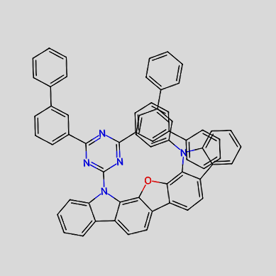 c1ccc(-c2cccc(-c3nc(-c4cccc(-c5ccccc5)c4)nc(-n4c5ccccc5c5ccc6c7ccc8c9ccccc9n(-c9cccc(-c%10ccccc%10)c9)c8c7oc6c54)n3)c2)cc1